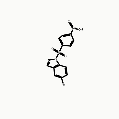 O=[N+](O)c1ccc(S(=O)(=O)n2ncc3cc(Br)ccc32)cc1